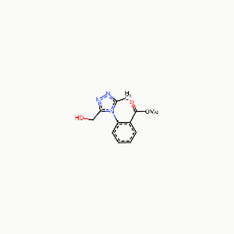 COC(=O)c1ccccc1-n1c(C)nnc1CO